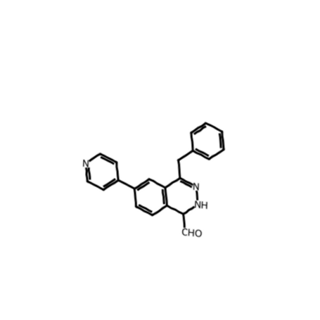 O=CC1NN=C(Cc2ccccc2)c2cc(-c3ccncc3)ccc21